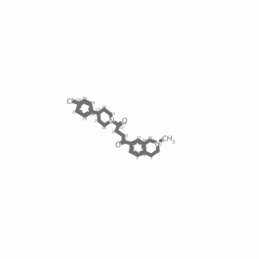 CN1CCc2ccc(C(=O)CCC(=O)N3CCC(c4ccc(Cl)cc4)CC3)cc2C1